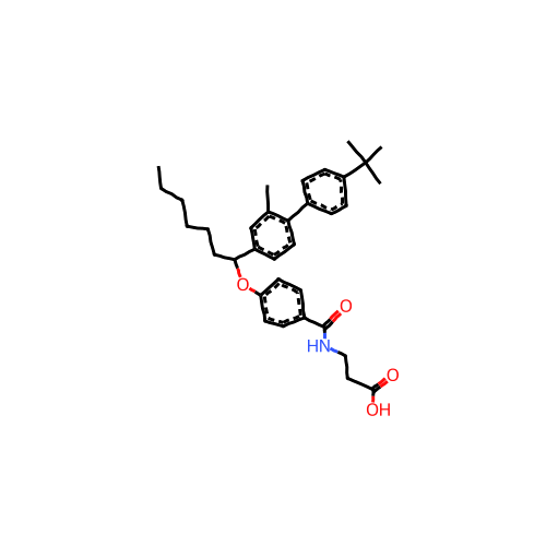 CCCCCCC(Oc1ccc(C(=O)NCCC(=O)O)cc1)c1ccc(-c2ccc(C(C)(C)C)cc2)c(C)c1